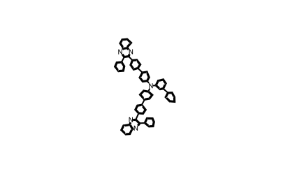 c1ccc(-c2cccc(N(c3ccc(-c4ccc(-c5nc6ccccc6nc5-c5ccccc5)cc4)cc3)c3ccc(-c4ccc(-c5nc6ccccc6nc5-c5ccccc5)cc4)cc3)c2)cc1